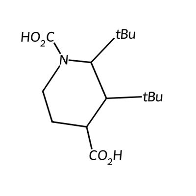 CC(C)(C)C1C(C(=O)O)CCN(C(=O)O)C1C(C)(C)C